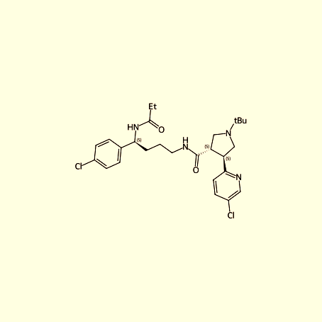 CCC(=O)N[C@@H](CCCNC(=O)[C@@H]1CN(C(C)(C)C)C[C@H]1c1ccc(Cl)cn1)c1ccc(Cl)cc1